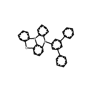 c1ccc(-c2cc(-c3ccccc3)cc(N3c4ccccc4N4c5ccccc5Oc5cccc3c54)c2)cc1